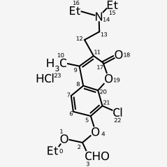 CCOC(C=O)Oc1ccc2c(C)c(CCN(CC)CC)c(=O)oc2c1Cl.Cl